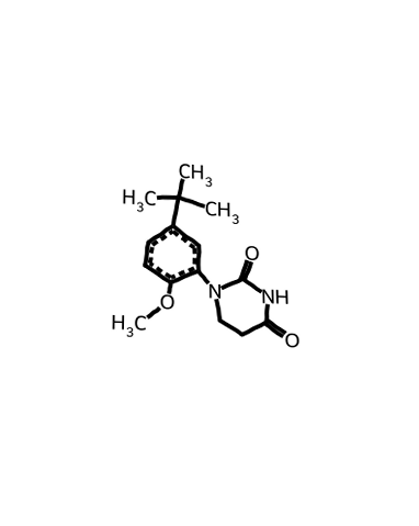 COc1ccc(C(C)(C)C)cc1N1CCC(=O)NC1=O